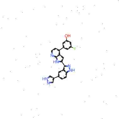 Oc1cc(F)cc(-c2ccnc3[nH]c(-c4n[nH]c5ccc(-c6cn[nH]c6)cc45)cc23)c1